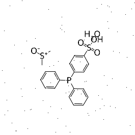 C[S+](C)[O-].O.O=S(=O)(O)c1ccc(P(c2ccccc2)c2ccccc2)cc1